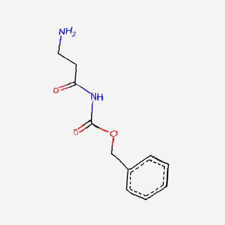 NCCC(=O)NC(=O)OCc1ccccc1